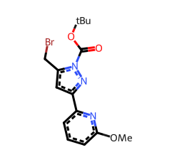 COc1cccc(-c2cc(CBr)n(C(=O)OC(C)(C)C)n2)n1